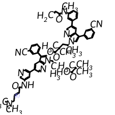 C=CC(=O)N(C)c1cccc(-c2cnc3c(c2)c(-c2cccc(C#N)c2)cn3C(C)CC(C)(C)C(=O)OC(C)n2cc(-c3cccc(C#N)c3)c3cc(-c4cncc(NC(=O)/C=C/CN(C)C)c4)cnc32)c1.CC(C)(C)C(=O)O